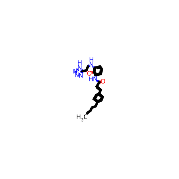 CCCCCc1ccc(C=CC(=O)Nc2cccc3c2OC(c2nnn[nH]2)CN3)cc1